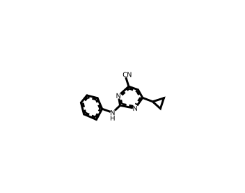 N#Cc1cc(C2CC2)nc(Nc2ccccc2)n1